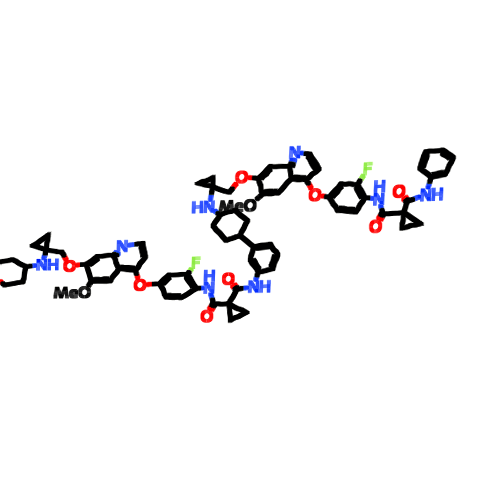 COc1cc2c(Oc3ccc(NC(=O)C4(C(=O)Nc5cccc(C6CCC(NC7(COc8cc9nccc(Oc%10ccc(NC(=O)C%11(C(=O)Nc%12ccccc%12)CC%11)c(F)c%10)c9cc8OC)CC7)CC6)c5)CC4)c(F)c3)ccnc2cc1OCC1(NC2CCOCC2)CC1